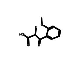 COc1ccccc1C(=O)C(F)C(=O)O